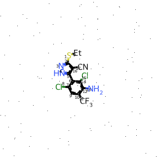 CCSc1n[nH]c(-c2c(Cl)cc(C(F)(F)F)c(N)c2Cl)c1C#N